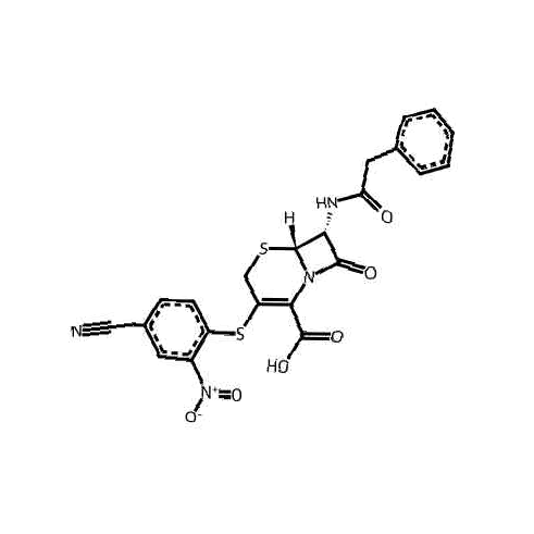 N#Cc1ccc(SC2=C(C(=O)O)N3C(=O)[C@@H](NC(=O)Cc4ccccc4)[C@H]3SC2)c([N+](=O)[O-])c1